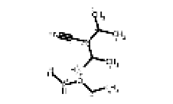 CC(C)N(C#N)C(C)C.CCOPCl